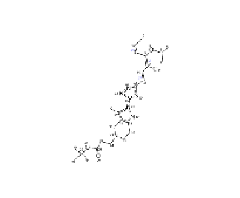 C\C=C/C(OC(C)C)=C(Cl)\C=C\c1nnc(-n2nc3c(c2C)CN(CCC(=O)OC(C)(C)C)CC3)s1